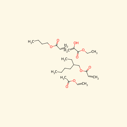 C=C(O)C(=O)OCC.C=CC(=O)OCC(CC)CCCC.C=CC(=O)OCCCC.C=COC(C)=O